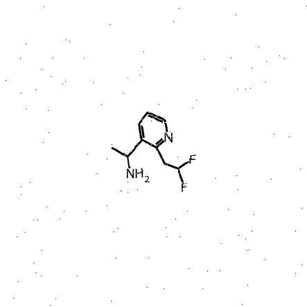 CC(N)c1cccnc1CC(F)F